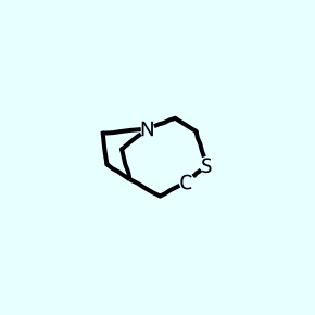 C1CC2CCN(CCS1)C2